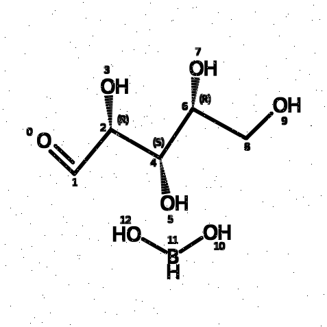 O=C[C@H](O)[C@@H](O)[C@H](O)CO.OBO